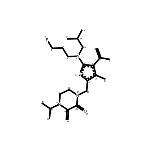 C=C(C)c1c(N(CCCF)CC(C)C)sc(CN2CCN(C(C)C)C(=C)C2=O)c1C